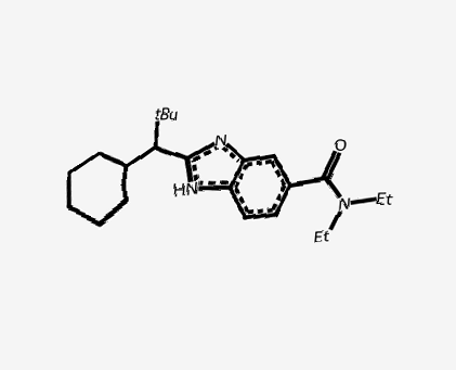 CCN(CC)C(=O)c1ccc2[nH]c(C(C3CCCCC3)C(C)(C)C)nc2c1